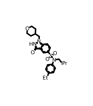 CCc1ccc(N(CC(C)C)S(=O)(=O)c2ccc3c(c2)c(=O)[nH]n3CC2CCOCC2)cc1